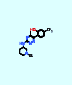 CCN1CCCC(Nc2nnc(-c3ccc(C(F)(F)F)cc3O)c(C)n2)C1